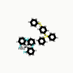 CCCC[B-](c1c(F)cccc1F)(c1c(F)cccc1F)c1c(F)cccc1F.c1ccc(Sc2ccc([S+](c3ccccc3)c3ccccc3)cc2)cc1